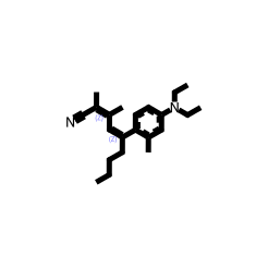 CCCC/C(=C/C(C)=C(/C)C#N)c1ccc(N(CC)CC)cc1C